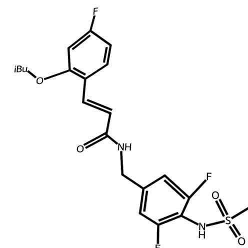 CCC(C)Oc1cc(F)ccc1C=CC(=O)NCc1cc(F)c(NS(C)(=O)=O)c(F)c1